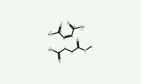 COC(=O)CCC(=O)O.O=C(O)/C=C\C(=O)O